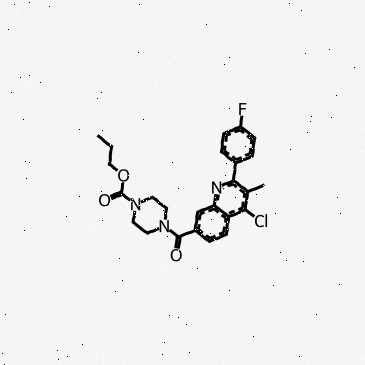 CCCOC(=O)N1CCN(C(=O)c2ccc3c(Cl)c(C)c(-c4ccc(F)cc4)nc3c2)CC1